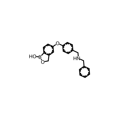 OB1OCc2cc(Oc3ccc(CNCc4ccccc4)cc3)ccc21